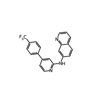 FC(F)(F)c1ccc(-c2ccnc(Nc3ccc4cccnc4c3)c2)cc1